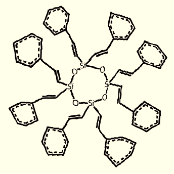 C(=C\[Si]1(/C=C/c2ccccc2)O[Si](/C=C/c2ccccc2)(/C=C/c2ccccc2)O[Si](/C=C/c2ccccc2)(/C=C/c2ccccc2)O[Si](/C=C/c2ccccc2)(/C=C/c2ccccc2)O1)/c1ccccc1